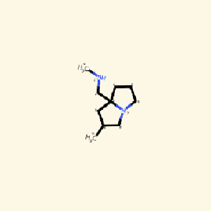 CNCC12CCCN1CC(C)C2